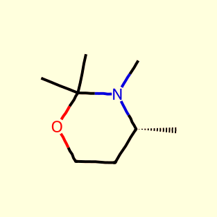 C[C@@H]1CCOC(C)(C)N1C